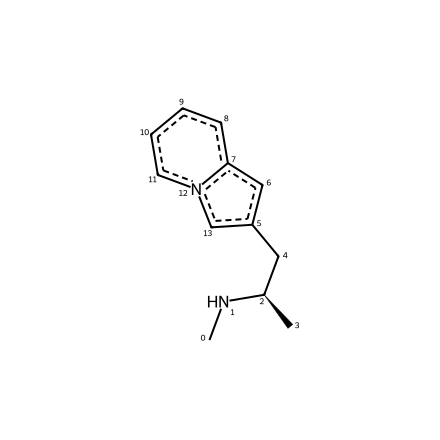 CN[C@H](C)Cc1cc2ccccn2c1